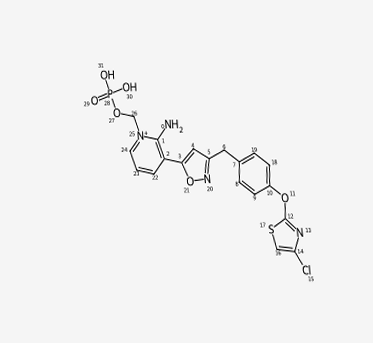 Nc1c(-c2cc(Cc3ccc(Oc4nc(Cl)cs4)cc3)no2)ccc[n+]1COP(=O)(O)O